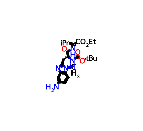 CCOC(=O)[C@@H](NC(=O)[C@H](Cc1nc2cc(N)ccc2n1C)NC(=O)OC(C)(C)C)C(C)C